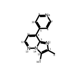 Cc1nc2c(-c3ccncc3)ccnn2c1I